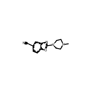 CN1CCN(c2nc3cc(C#N)ccc3o2)CC1